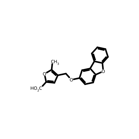 Cc1oc(C(=O)O)cc1COc1ccc2oc3ccccc3c2c1